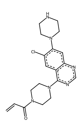 C=CC(=O)N1CCN(c2ncnc3cc(N4CCNCC4)c(Cl)cc23)CC1